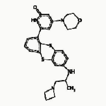 CC(CN1CCC1)Nc1ccc2c(c1)Sc1cccc(-c3cc(N4CCOCC4)cc(=O)[nH]3)c1S2